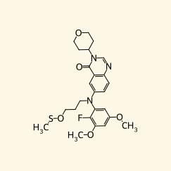 COc1cc(OC)c(F)c(N(CCCOSC)c2ccc3ncn(C4CCOCC4)c(=O)c3c2)c1